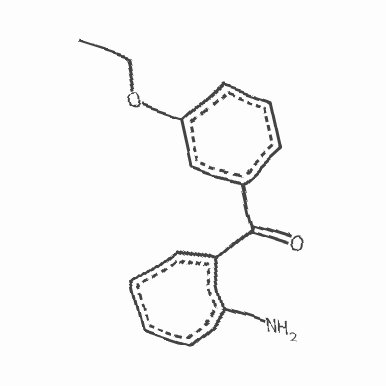 CCOc1cccc(C(=O)c2ccccc2N)c1